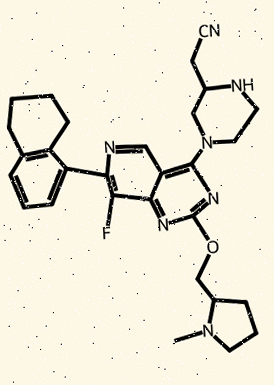 CN1CCCC1COc1nc(N2CCNC(CC#N)C2)c2cnc(-c3cccc4c3CCCC4)c(F)c2n1